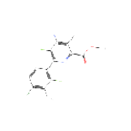 CCCCOC(=O)c1nc(-c2ccc(Cl)c(OC)c2F)c(F)c(N)c1C